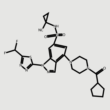 N#CC1(NS(=O)(=O)c2cc(N3CCN(C(=O)C4CCCC4)CC3)c3cnn(-c4nnc(C(F)F)s4)c3c2)CC1